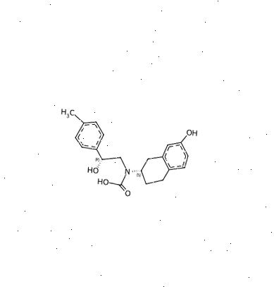 Cc1ccc([C@@H](O)CN(C(=O)O)[C@H]2CCc3ccc(O)cc3C2)cc1